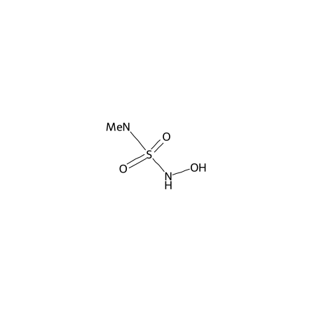 CNS(=O)(=O)NO